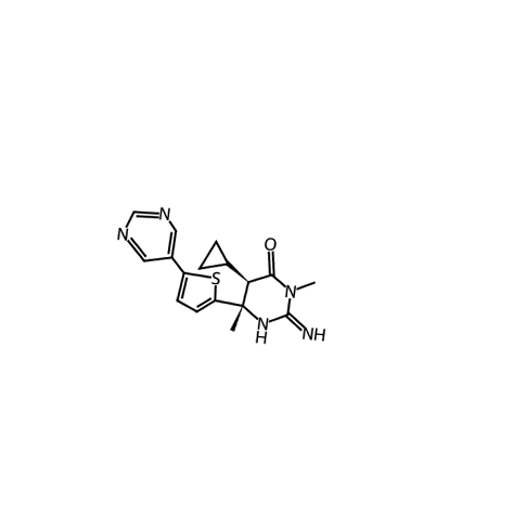 CN1C(=N)N[C@](C)(c2ccc(-c3cncnc3)s2)[C@@H](C2CC2)C1=O